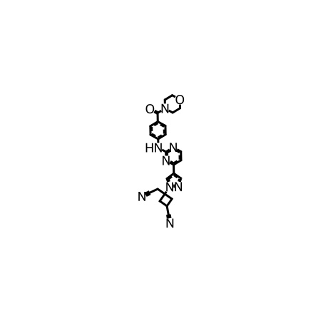 N#CCC1(n2cc(-c3ccnc(Nc4ccc(C(=O)N5CCOCC5)cc4)n3)cn2)CC(C#N)C1